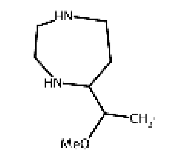 [CH2]C(OC)C1CCNCCN1